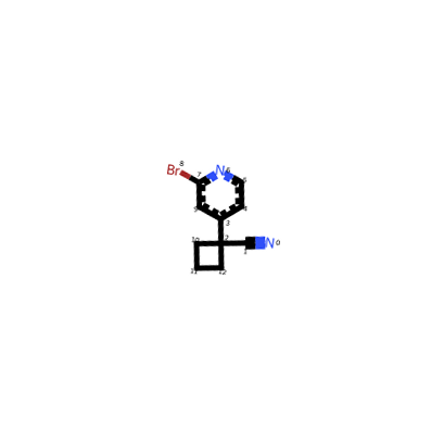 N#CC1(c2ccnc(Br)c2)CCC1